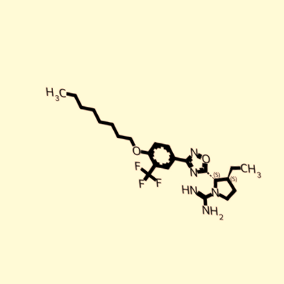 CCCCCCCCOc1ccc(-c2noc([C@@H]3[C@@H](CC)CCN3C(=N)N)n2)cc1C(F)(F)F